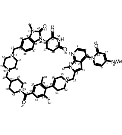 CNc1ccn(-c2ccnc3c2cc(CN2CC=C(c4c(C)cc(C(=O)N5CCC(CN6CCN(Cc7ccc8c(c7)n(C)c(=O)n8[C@H]7CCC(=O)NC7=O)CC6)CC5)cc4F)CC2)n3C)c(=O)c1